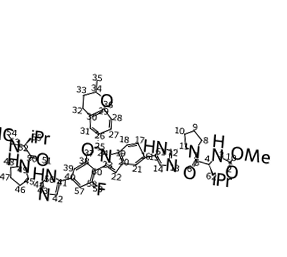 COC(=O)N[C@H](C(=O)N1CCC[C@H]1c1ncc(-c2ccc3c(c2)cc2n3[C@@H](c3ccc4c(c3)CCC(C)O4)Oc3cc(-c4cnc([C@@H]5CCCN5C(=O)[C@@H](NC=O)C(C)C)[nH]4)cc(F)c3-2)[nH]1)C(C)C